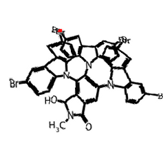 CN1C(=O)c2cc(-n3c4ccc(Br)cc4c4cc(Br)ccc43)c(-n3c4ccc(Br)cc4c4cc(Br)ccc43)c(-n3c4ccc(Br)cc4c4cc(Br)ccc43)c2C1O